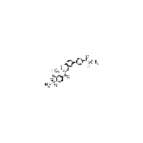 CCc1c(C(=O)N2CCOc3ccc(-c4ccc(C(=O)NC)cc4)cc3C2)ccc(S(C)(=O)=O)c1F